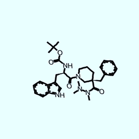 CN(C)N(C)C(=O)[C@@]1(Cc2ccccc2)CCCN(C(=O)[C@@H](Cc2c[nH]c3ccccc23)NC(=O)OC(C)(C)C)C1